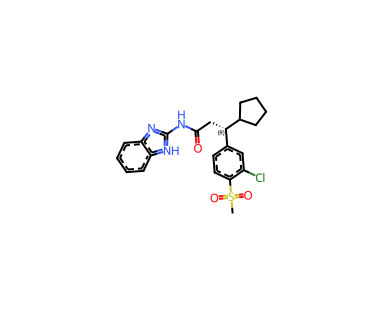 CS(=O)(=O)c1ccc([C@H](CC(=O)Nc2nc3ccccc3[nH]2)C2CCCC2)cc1Cl